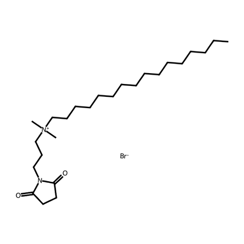 CCCCCCCCCCCCCCCC[N+](C)(C)CCCN1C(=O)CCC1=O.[Br-]